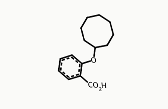 O=C(O)c1ccccc1OC1CCCCCCC1